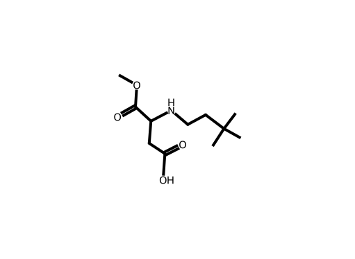 COC(=O)C(CC(=O)O)NCCC(C)(C)C